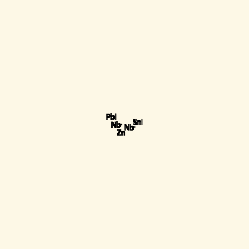 [Nb].[Nb].[Pb].[Sn].[Zn]